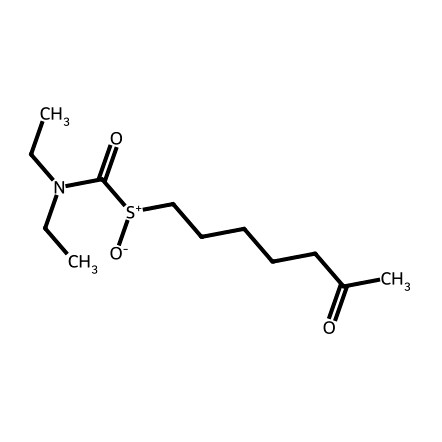 CCN(CC)C(=O)[S+]([O-])CCCCCC(C)=O